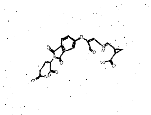 O=CC(CNCC1CC1C(=O)O)Oc1ccc2c(c1)C(=O)N(C1CCC(=O)NC1=O)C2=O